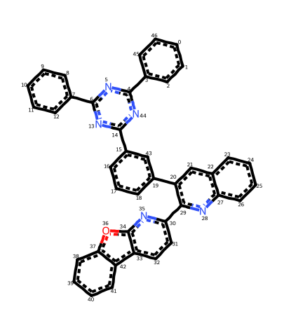 c1ccc(-c2nc(-c3ccccc3)nc(-c3cccc(-c4cc5ccccc5nc4-c4ccc5c(n4)oc4ccccc45)c3)n2)cc1